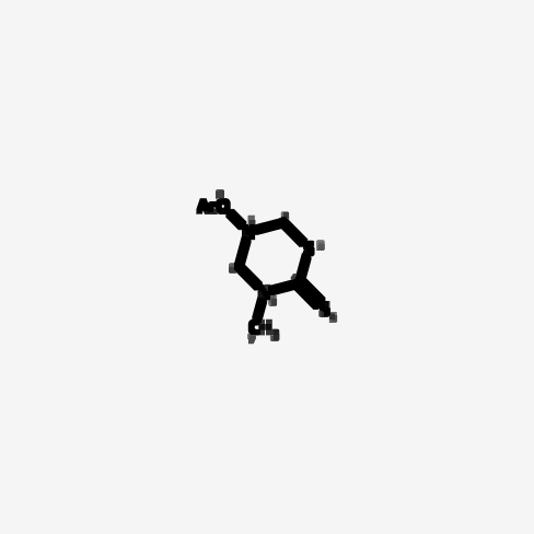 CC(=O)ON1CSC(=S)N(C)C1